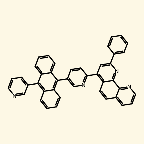 c1ccc(-c2cc(-c3ccc(-c4c5ccccc5c(-c5cccnc5)c5ccccc45)cn3)c3ccc4cccnc4c3n2)cc1